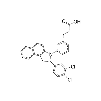 O=C(O)CCc1cccc(N2c3ccc4ccccc4c3CC2c2ccc(Cl)c(Cl)c2)c1